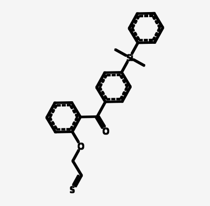 C[Si](C)(c1ccccc1)c1ccc(C(=O)c2ccccc2OCC=S)cc1